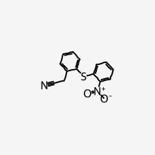 N#CCc1ccccc1Sc1ccccc1[N+](=O)[O-]